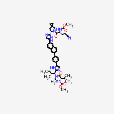 CC[C@@H](C)[C@@H](c1ncc(-c2ccc(-c3ccc4cc(-c5cnc([C@@H]6CC7(CC7)CN6C(=O)[C@H](CCC#N)NC(=O)OC)[nH]5)ccc4c3)cc2)[nH]1)N(CC)C(=O)[C@@H](NC(=O)OC)C(C)C